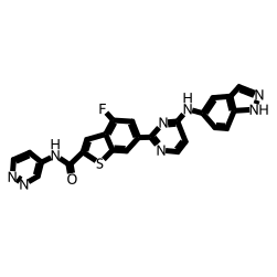 O=C(Nc1ccnnc1)c1cc2c(F)cc(-c3nccc(Nc4ccc5[nH]ncc5c4)n3)cc2s1